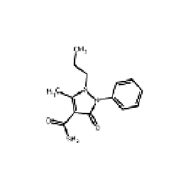 CCCn1c(C)c(C(N)=O)c(=O)n1-c1ccccc1